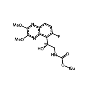 COc1nc2ccc(F)c([C@H](O)CNC(=O)OC(C)(C)C)c2nc1OC